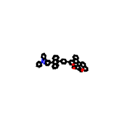 c1ccc(-n2c3ccccc3c3cc(-c4c5ccccc5c(-c5ccc(-c6ccc7c8c(c9ccccc9c7c6)-c6ccc7ccccc7c6C86c7ccccc7-c7ccccc76)cc5)c5ccccc45)ccc32)cc1